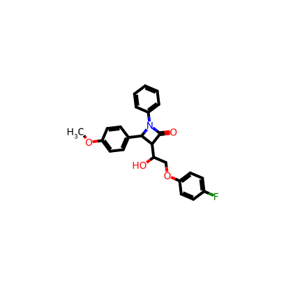 COc1ccc(C2C(C(O)COc3ccc(F)cc3)C(=O)N2c2ccccc2)cc1